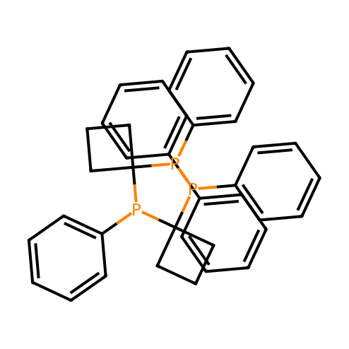 c1ccc(P(c2ccccc2)C2(P(c3ccccc3)C3(P(c4ccccc4)c4ccccc4)CCC3)CCC2)cc1